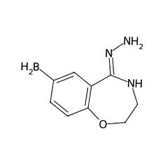 Bc1ccc2c(c1)/C(=N/N)NCCO2